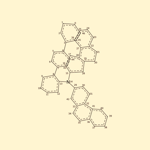 c1ccc(-c2ccc(-c3ccccc3N(c3ccc4c(ccc5ccccc54)c3)c3ccc4c(ccc5ccccc54)c3)cc2)cc1